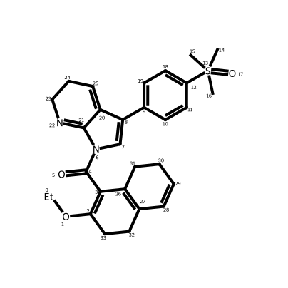 CCOC1=C(C(=O)n2cc(-c3ccc(S(C)(C)(C)=O)cc3)c3c2=NCCC=3)C2=C(C=CCC2)CC1